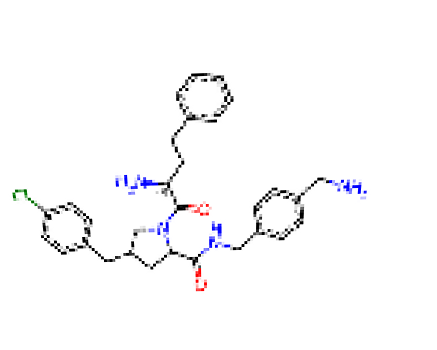 NCc1ccc(CNC(=O)C2CC(Cc3ccc(Cl)cc3)CN2C(=O)[C@@H](N)CCc2ccccc2)cc1